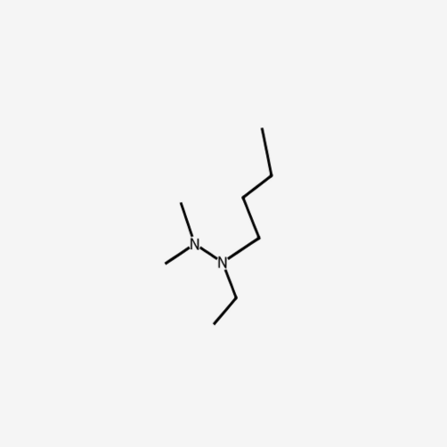 CCCCN(CC)N(C)C